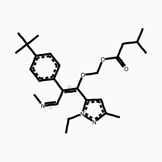 CCn1nc(C)cc1/C(OCOC(=O)CC(C)C)=C(\C=N/C)c1ccc(C(C)(C)C)cc1